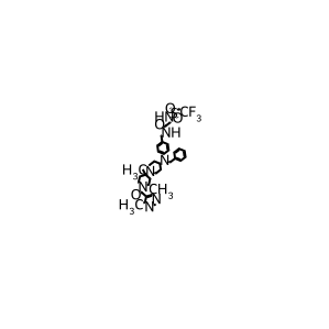 Cc1ncnc(C)c1C(=O)N1CCC(C)(N2CCC(N(Cc3ccccc3)c3ccc(CNC(=O)CNS(=O)(=O)CC(F)(F)F)cc3)CC2)CC1